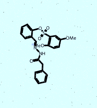 COc1ccc(OC)c(S(=O)(=O)Oc2ccccc2/C=N/NC(=O)Cc2ccccc2)c1